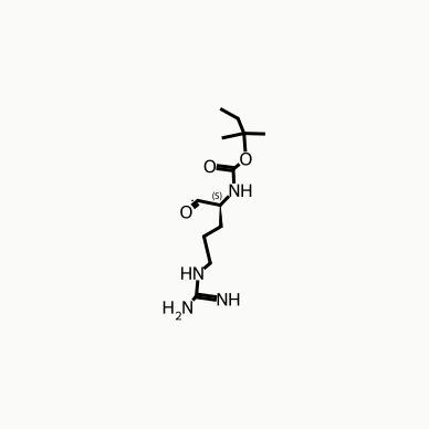 CCC(C)(C)OC(=O)N[C@H]([C]=O)CCCNC(=N)N